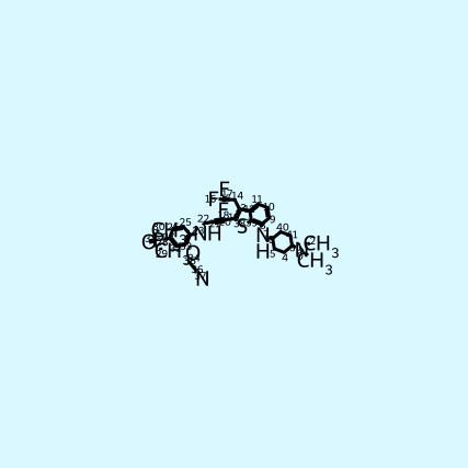 CN(C)C1CCC(Nc2cccc3c(CC(F)(F)F)c(C#CCNc4ccc(P(C)(C)=O)cc4OCC#N)sc23)CC1